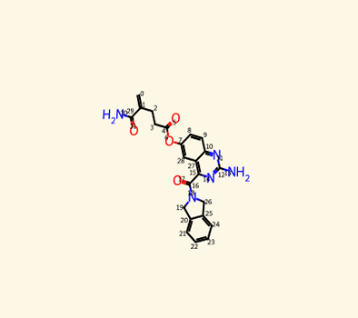 C=C(CCC(=O)Oc1ccc2nc(N)nc(C(=O)N3Cc4ccccc4C3)c2c1)C(N)=O